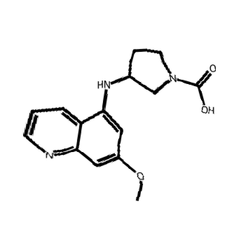 COc1cc(NC2CCN(C(=O)O)C2)c2cccnc2c1